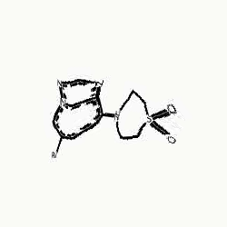 O=S1(=O)CCN(c2cc(Br)cn3ncnc23)CC1